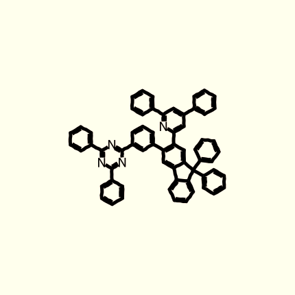 c1ccc(-c2cc(-c3ccccc3)nc(-c3cc4c(cc3-c3cccc(-c5nc(-c6ccccc6)nc(-c6ccccc6)n5)c3)-c3ccccc3C4(c3ccccc3)c3ccccc3)c2)cc1